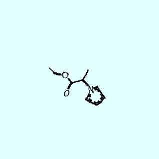 CCOC(=O)C(C)n1cccc1